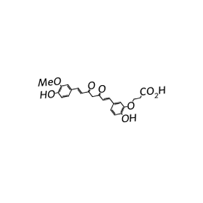 COc1cc(/C=C/C(=O)CC(=O)/C=C/c2ccc(O)c(OCCC(=O)O)c2)ccc1O